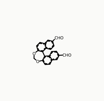 O=Cc1ccc2c3c(ccc2c1)OCOc1ccc2cc(C=O)ccc2c1-3